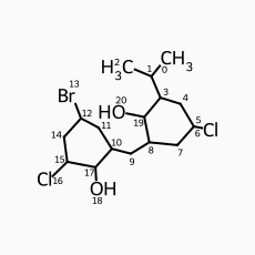 CC(C)C1CC(Cl)CC(CC2CC(Br)CC(Cl)C2O)C1O